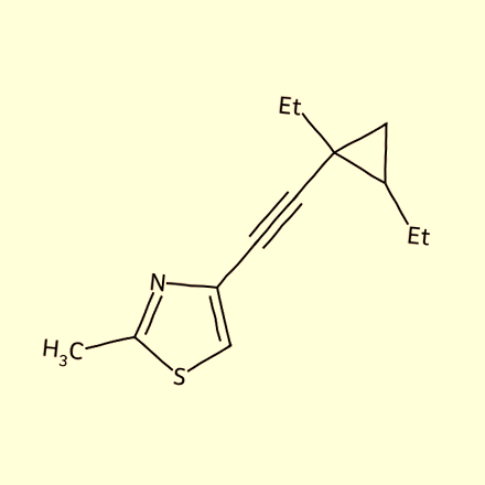 CCC1CC1(C#Cc1csc(C)n1)CC